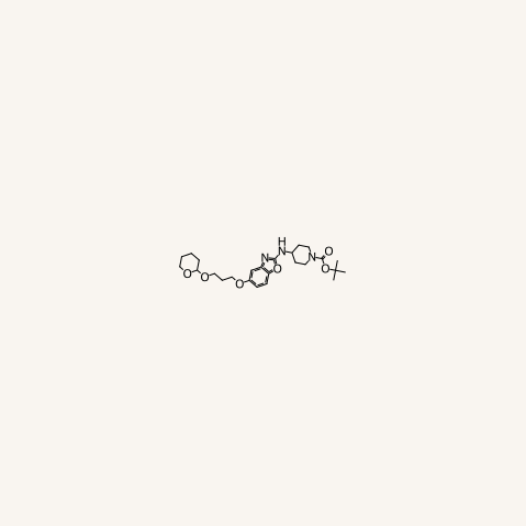 CC(C)(C)OC(=O)N1CCC(Nc2nc3cc(OCCCOC4CCCCO4)ccc3o2)CC1